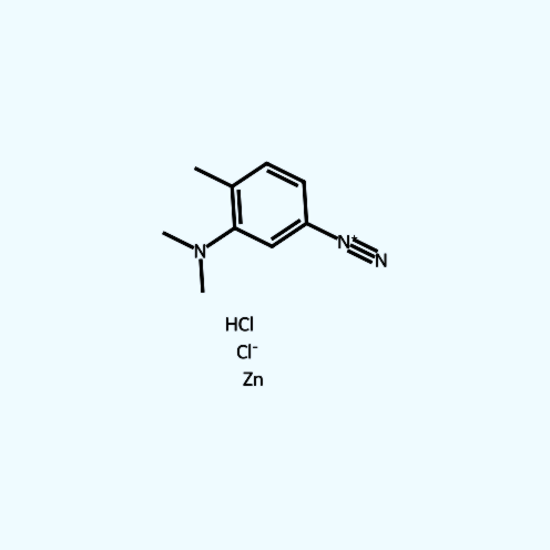 Cc1ccc([N+]#N)cc1N(C)C.Cl.[Cl-].[Zn]